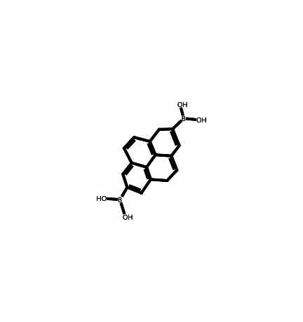 OB(O)C1=CC2=CCc3cc(B(O)O)cc4ccc(c2c34)C1